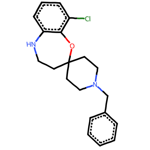 Clc1cccc2c1OC1(CCN2)CCN(Cc2ccccc2)CC1